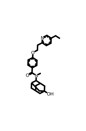 CCc1ccc(CCOc2ccc(C(=O)N(C)C3C4CC5CC3CC(O)(C5)C4)cc2)nc1